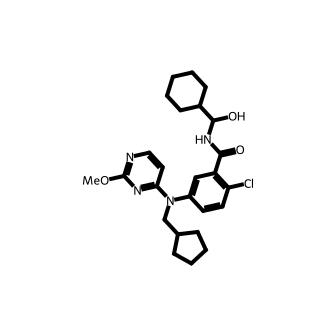 COc1nccc(N(CC2CCCC2)c2ccc(Cl)c(C(=O)NC(O)C3CCCCC3)c2)n1